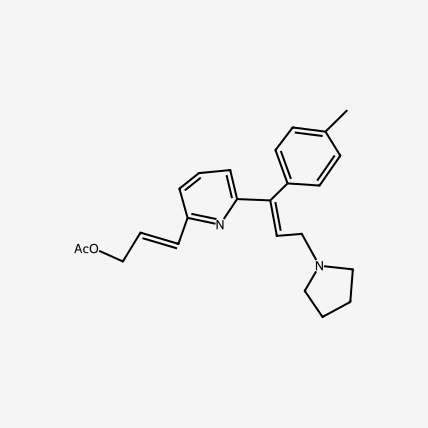 CC(=O)OCC=Cc1cccc(C(=CCN2CCCC2)c2ccc(C)cc2)n1